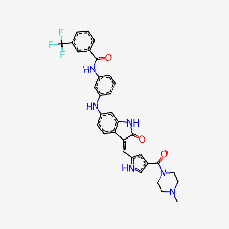 CN1CCN(C(=O)c2c[nH]c(/C=C3\C(=O)Nc4cc(Nc5cccc(NC(=O)c6cccc(C(F)(F)F)c6)c5)ccc43)c2)CC1